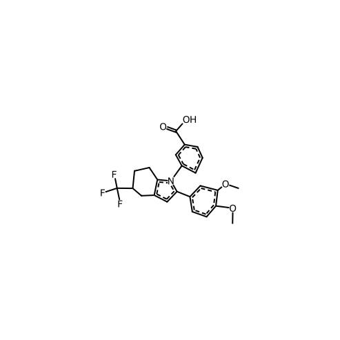 COc1ccc(-c2cc3c(n2-c2cccc(C(=O)O)c2)CCC(C(F)(F)F)C3)cc1OC